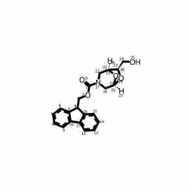 O=C(OCC1c2ccccc2-c2ccccc21)N1C[C@H]2O[C@@H](C1)[C@@H](CO)O2